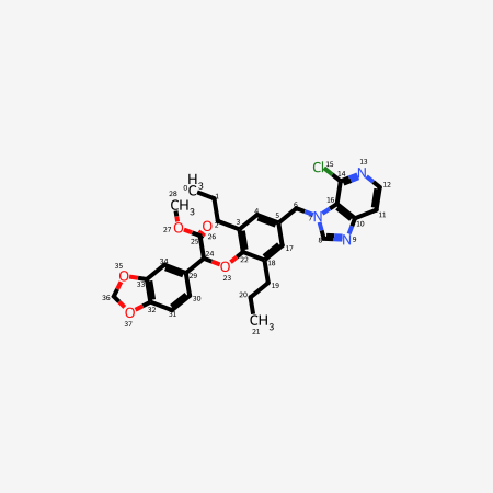 CCCc1cc(Cn2cnc3ccnc(Cl)c32)cc(CCC)c1OC(C(=O)OC)c1ccc2c(c1)OCO2